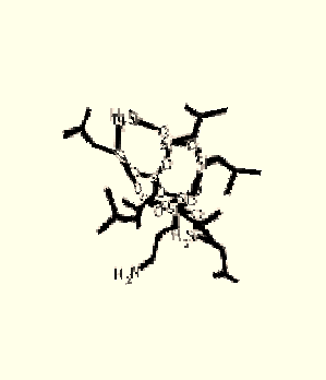 CC(C)C[SiH2]O[Si]1(CCCN)O[Si]2(CC(C)C)O[Si]3(CC(C)C)O[SiH2]O[Si]4(CC(C)C)O[Si](CC(C)C)(O1)O[Si](CC(C)C)(O2)O[Si](CC(C)C)(O3)O4